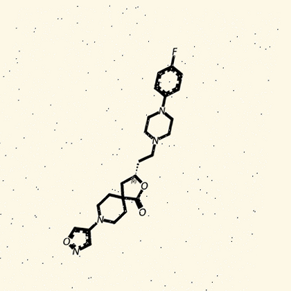 O=C1O[C@@H](CCN2CCN(c3ccc(F)cc3)CC2)CC12CCN(c1cnoc1)CC2